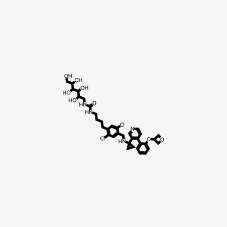 O=C(NCCCCc1cc(Cl)c(CNC2(c3cnccc3-c3ccccc3OC3COC3)CC2)cc1Cl)NCC(O)C(O)C(O)C(O)CO